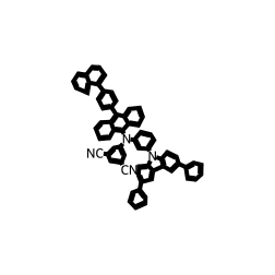 N#Cc1cc(C#N)cc(N(c2cccc(-n3c4ccc(-c5ccccc5)cc4c4cc(-c5ccccc5)ccc43)c2)c2c3ccccc3c(-c3ccc(-c4cccc5ccccc45)cc3)c3ccccc23)c1